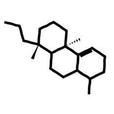 CCC[C@]1(C)CCC[C@@]2(C)C3=CCCC(C)C3CCC12